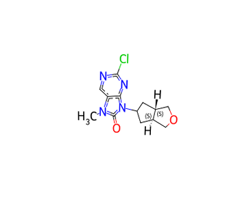 Cn1c(=O)n(C2C[C@@H]3COC[C@H]3C2)c2nc(Cl)ncc21